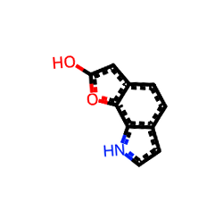 Oc1cc2ccc3cc[nH]c3c2o1